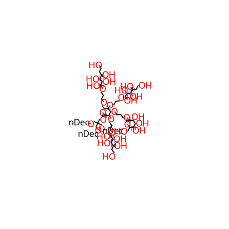 CCCCCCCCCCOCC(COCCCCCCCCCC)(COCCCCCCCCCC)CO[C@@H]1OC(COCCCO[C@H](O)/C(O)=C(\O)[C@H](O)CCO)[C@@H](OCCCO[C@H](O)/C(O)=C(\O)[C@H](O)CCO)C(OCCCO[C@@H]2OC(CO)[C@@H](O)C(O)C2O)C1OCCCO[C@H](O)/C(O)=C(\O)[C@H](O)CCO